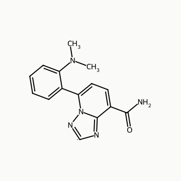 CN(C)c1ccccc1-c1ccc(C(N)=O)c2n[c]nn12